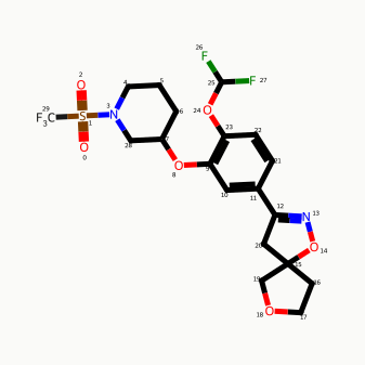 O=S(=O)(N1CCCC(Oc2cc(C3=NOC4(CCOC4)C3)ccc2OC(F)F)C1)C(F)(F)F